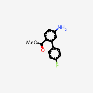 COC(=O)c1ccc(N)cc1-c1ccc(F)cc1